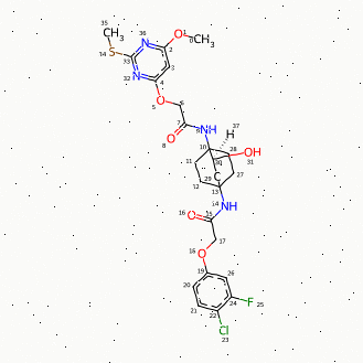 COc1cc(OCC(=O)NC23CCC(NC(=O)COc4ccc(Cl)c(F)c4)(CC2)C[C@@H]3O)nc(SC)n1